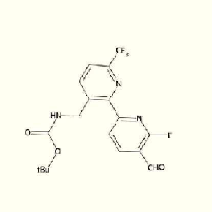 CC(C)(C)OC(=O)NCc1ccc(C(F)(F)F)nc1-c1ccc(C=O)c(F)n1